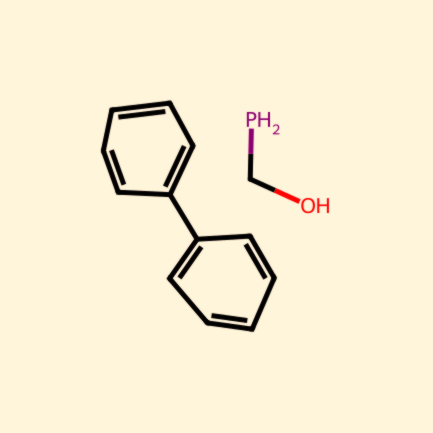 OCP.c1ccc(-c2ccccc2)cc1